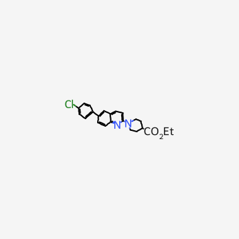 CCOC(=O)C1CCN(c2ccc3cc(-c4ccc(Cl)cc4)ccc3n2)CC1